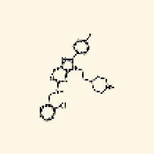 Cc1ccc(-c2nc3cnc(NCc4ccccc4Cl)nc3n2CCC2CCNCC2)cc1